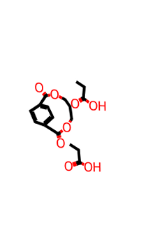 CCC(=O)O.CCC(=O)O.O=C1OCCCOC(=O)c2ccc1cc2